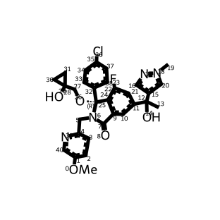 COc1ccc(CN2C(=O)c3cc(C(C)(O)c4cnn(C)c4)cc(F)c3[C@]2(OCC2(O)CC2)c2ccc(Cl)cc2)nc1